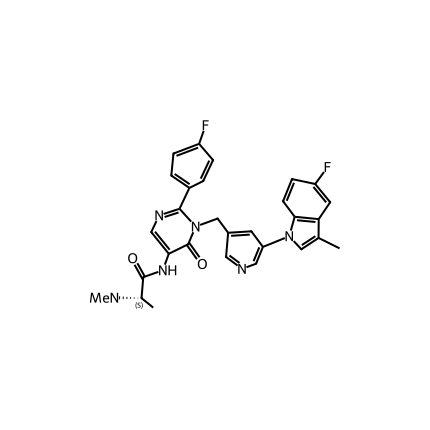 CN[C@@H](C)C(=O)Nc1cnc(-c2ccc(F)cc2)n(Cc2cncc(-n3cc(C)c4cc(F)ccc43)c2)c1=O